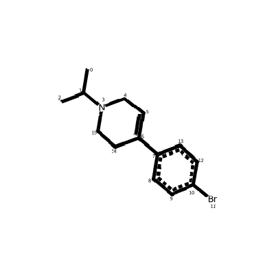 CC(C)N1CC=C(c2ccc(Br)cc2)CC1